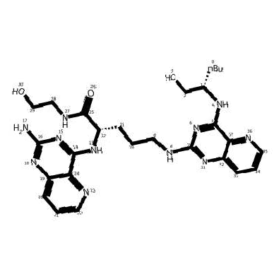 CCCC[C@@H](CO)Nc1nc(NCCC[C@H](Nc2nc(N)nc3cccnc23)C(=O)NCCO)nc2cccnc12